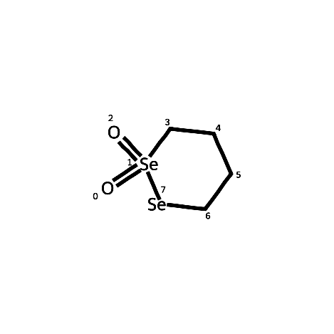 O=[Se]1(=O)CCCC[Se]1